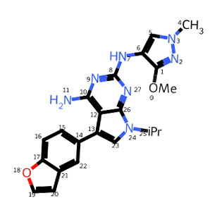 COc1nn(C)cc1Nc1nc(N)c2c(-c3ccc4occc4c3)cn(C(C)C)c2n1